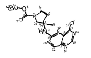 CC(C)(C)OC(=O)N1CC[C@](C)(Nc2ncc3ncnc(Cl)c3n2)C1